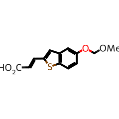 COCOc1ccc2sc(/C=C/C(=O)O)cc2c1